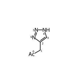 CC(=O)Cc1c[nH]nn1